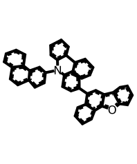 c1ccc(-c2ccccc2N(c2ccc(-c3cc4c5ccccc5oc4c4ccccc34)cc2)c2ccc3ccc4ccccc4c3c2)cc1